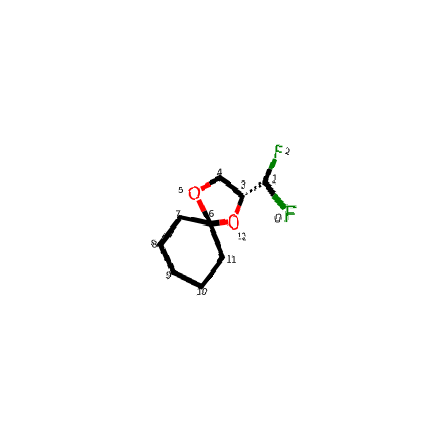 FC(F)[C@H]1COC2(CCCCC2)O1